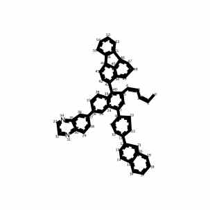 C/C=C\C=C/c1cc(-c2ccc(-c3ccc4ccccc4c3)cc2)c2cc(-c3ccc4nccnc4c3)ccc2c1-c1ccc2c3c(cccc13)-c1ccccc1-2